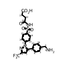 NCc1ccc(-c2cc(C(F)(F)F)nn2-c2ccc(S(=O)(=O)NC(=O)CCC(=O)O)cc2)cc1